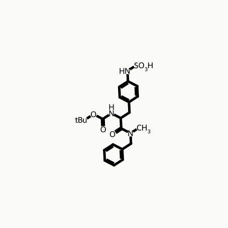 CN(Cc1ccccc1)C(=O)C(Cc1ccc(NS(=O)(=O)O)cc1)NC(=O)OC(C)(C)C